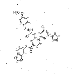 COc1ccc(CNC(=O)CC2CN(C(=O)Cc3ccc4c(c3)OCO4)CCN2c2cc(Cl)nc(-n3ccnc3)n2)cc1